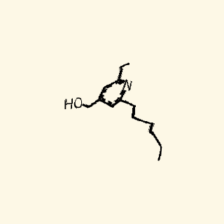 CCCCCCc1cc(CO)cc(CC)n1